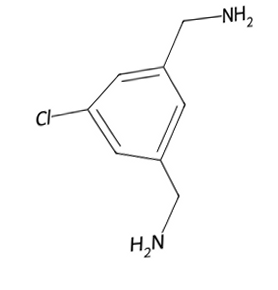 NCc1cc(Cl)cc(CN)c1